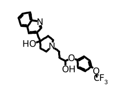 OC(CCN1CCC(O)(c2cnc3ccccc3c2)CC1)Oc1ccc(OC(F)(F)F)cc1